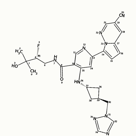 CC(C)(O)[C@H](F)CNC(=O)c1cnc(-c2ccc3cc(C#N)cnn23)cc1N[C@H]1C[C@H](Cn2cncn2)C1